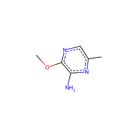 COc1ncc(C)nc1N